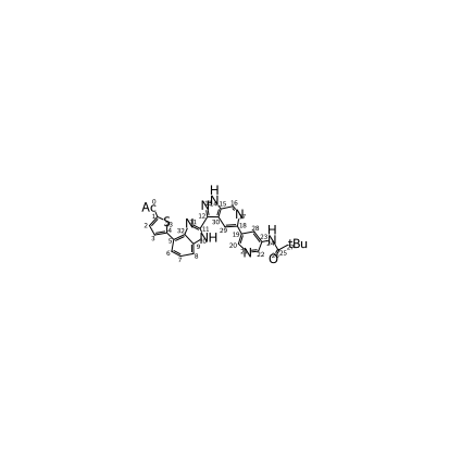 CC(=O)c1ccc(-c2cccc3[nH]c(-c4n[nH]c5cnc(-c6cncc(NC(=O)C(C)(C)C)c6)cc45)nc23)s1